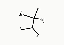 [CH2]C(C)C(C)(Br)Br